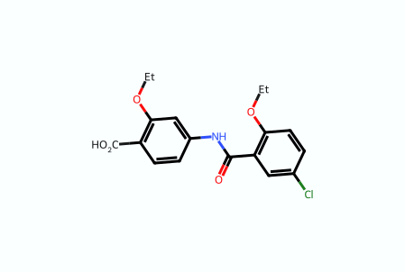 CCOc1cc(NC(=O)c2cc(Cl)ccc2OCC)ccc1C(=O)O